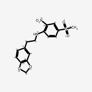 CS(=O)(=O)c1ccc(NCCc2ccc3c(c2)OCO3)c([N+](=O)[O-])c1